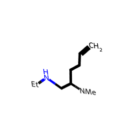 C=CCCC(CNCC)NC